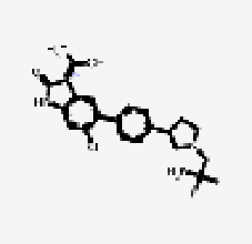 C/C(O)=C1\C(=O)Nc2cc(Cl)c(-c3ccc(C4CCN(CC(F)(F)P)C4)cc3)cc21